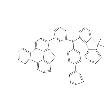 CC1(C)c2ccccc2-c2c(N(c3ccc(-c4ccccc4)cc3)c3cccc(-c4ccc5c6ccccc6c6cccc7sc4c5c76)n3)cccc21